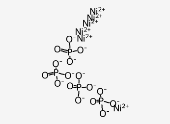 O=P([O-])([O-])[O-].O=P([O-])([O-])[O-].O=P([O-])([O-])[O-].O=P([O-])([O-])[O-].[Ni+2].[Ni+2].[Ni+2].[Ni+2].[Ni+2].[Ni+2]